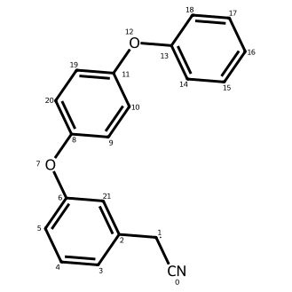 N#C[CH]c1cccc(Oc2ccc(Oc3ccccc3)cc2)c1